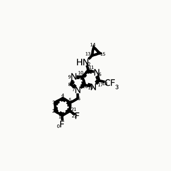 Fc1cccc(Cn2cnc3c(NC4CC4)nc(C(F)(F)F)nc32)c1F